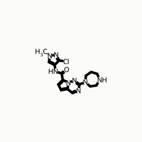 Cn1cc(NC(=O)c2ccc3cnc(N4CCCNCC4)nn23)c(Cl)n1